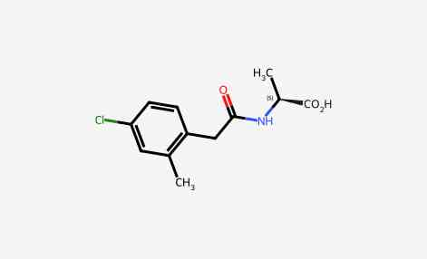 Cc1cc(Cl)ccc1CC(=O)N[C@@H](C)C(=O)O